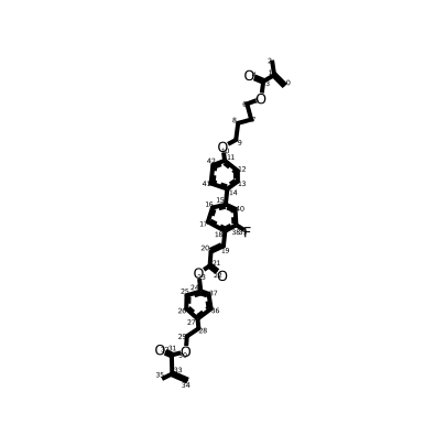 C=C(C)C(=O)OCCCCOc1ccc(-c2ccc(/C=C/C(=O)Oc3ccc(CCOC(=O)C(=C)C)cc3)c(F)c2)cc1